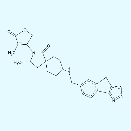 CC1=C(N2C(=O)C3(CCC(NCc4ccc5c(c4)Cn4nnnc4-5)CC3)C[C@@H]2C)COC1=O